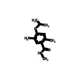 CNC(=O)c1cc(N)c(OC(C)C)cc1C